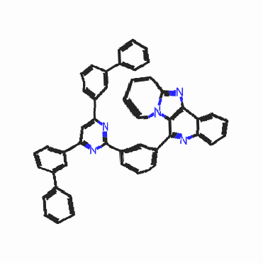 c1ccc(-c2cccc(-c3cc(-c4cccc(-c5ccccc5)c4)nc(-c4cccc(-c5nc6ccccc6c6nc7ccccn7c56)c4)n3)c2)cc1